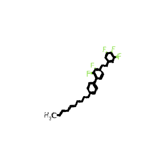 CCCCCCCCCCc1ccc(-c2ccc(CCc3cc(F)c(F)c(F)c3)c(F)c2F)cc1